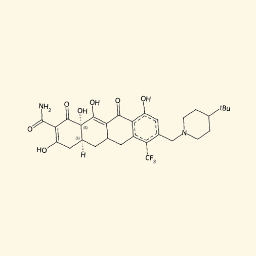 CC(C)(C)C1CCN(Cc2cc(O)c3c(c2C(F)(F)F)CC2C[C@H]4CC(O)=C(C(N)=O)C(=O)[C@@]4(O)C(O)=C2C3=O)CC1